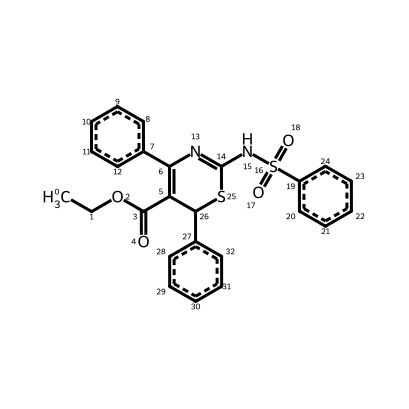 CCOC(=O)C1=C(c2ccccc2)N=C(NS(=O)(=O)c2ccccc2)SC1c1ccccc1